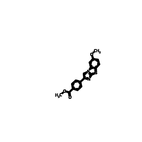 COC(=O)c1ccc(-c2cn3c(n2)sc2ccc(OC)cc23)cc1